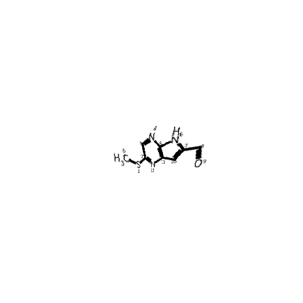 CSc1cnc2[nH]c(C=O)cc2n1